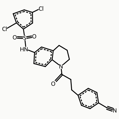 N#Cc1ccc(CCC(=O)N2CCCc3cc(NS(=O)(=O)c4cc(Cl)ccc4Cl)ccc32)cc1